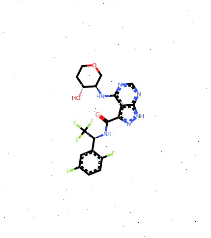 O=C(N[C@@H](c1cc(F)ccc1F)C(F)(F)F)c1n[nH]c2ncnc(N[C@@H]3COCC[C@H]3O)c12